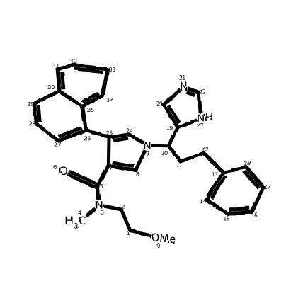 COCCN(C)C(=O)c1cn(C(CCc2ccccc2)c2cnc[nH]2)cc1-c1cccc2ccccc12